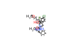 CNC[C@H](CC1CCCCC1)NC(=O)N1CCC[C@@H]([C@@](O)(CCCCOC)c2cccc(Cl)c2F)C1